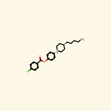 CCCCC[C@H]1CC[Si@H](c2ccc(OC(=O)c3ccc(Cl)cc3)cc2)CC1